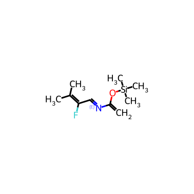 C=C(/N=C/C(F)=C(C)C)O[Si](C)(C)C